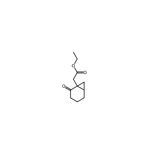 CCOC(=O)CC12CC1CCCC2=O